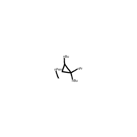 CCCCC1CC1(CCC)CCCC.[CH2]CCCCC